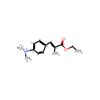 CCOC(=O)/C(C)=C/c1ccc(N(C)C)cc1